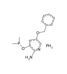 CP(C)Oc1cc(OCc2ccccc2)cnc1N.P